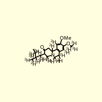 [2H]c1c(OC)c(OC([2H])([2H])[2H])c([2H])c2c1C1([2H])CC(=O)C(C([2H])([2H])C([2H])(C([2H])([2H])[2H])C([2H])([2H])C)C([2H])([2H])N1C([2H])([2H])C2([2H])[2H]